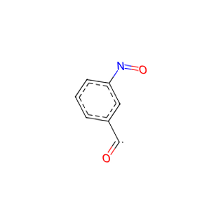 O=[C]c1cccc(N=O)c1